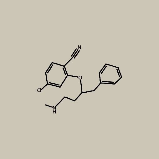 CNCCC(Cc1ccccc1)Oc1cc(Cl)ccc1C#N